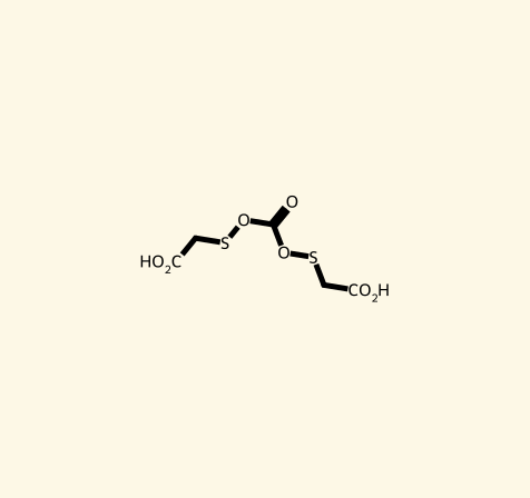 O=C(O)CSOC(=O)OSCC(=O)O